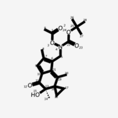 CC(=O)ON(CC1=C(C)C=C2C(=O)[C@](C)(O)C3(CC3)C(C)=C21)C(=O)OC(C)(C)C